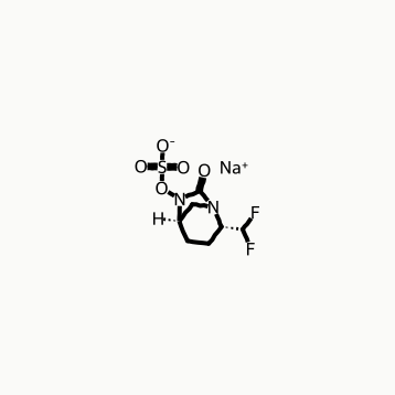 O=C1N2C[C@@H](CC[C@H]2C(F)F)N1OS(=O)(=O)[O-].[Na+]